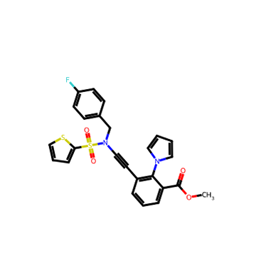 COC(=O)c1cccc(C#CN(Cc2ccc(F)cc2)S(=O)(=O)c2cccs2)c1-n1cccc1